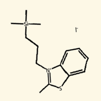 Cc1sc2ccccc2[n+]1CCC[Si](C)(C)C.[I-]